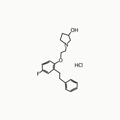 Cl.OC1CCN(CCOc2ccc(F)cc2CCc2ccccc2)C1